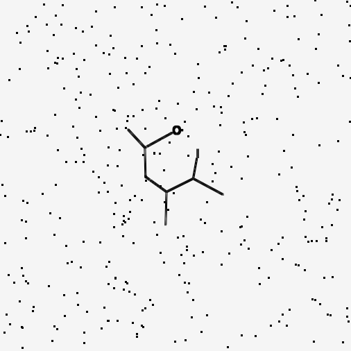 CC([O])CC(C)C(C)I